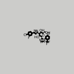 OC[C@H]1O[C@@H](c2nncn2-c2cc(Cl)ccc2C(F)(F)F)[C@H](O)[C@@H](n2cc(-c3ccc(Cl)c(F)c3)nn2)[C@H]1O